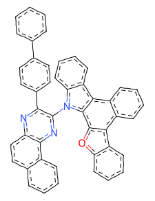 c1ccc(-c2ccc(-c3nc4ccc5ccccc5c4nc3-n3c4ccccc4c4c5ccccc5c5c6ccccc6oc5c43)cc2)cc1